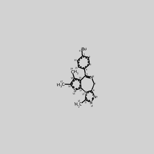 CCC(C)c1ccc(C2=NCc3nnc(C)n3-c3sc(C)c(C)c32)cc1